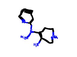 NC1=C(N(N)c2ccccn2)CCNC1